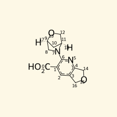 O=C(O)c1cc2c(nc1N1C[C@@H]3C[C@H]1CO3)COC2